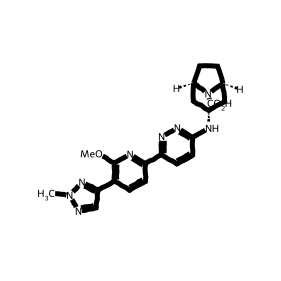 COc1nc(-c2ccc(N[C@@H]3C[C@H]4CC[C@@H](C3)N4C(=O)O)nn2)ccc1-c1cnn(C)n1